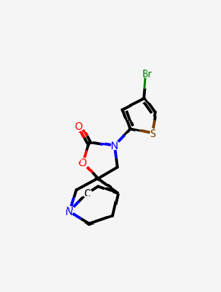 O=C1OC2(CN3CCC2CC3)CN1c1cc(Br)cs1